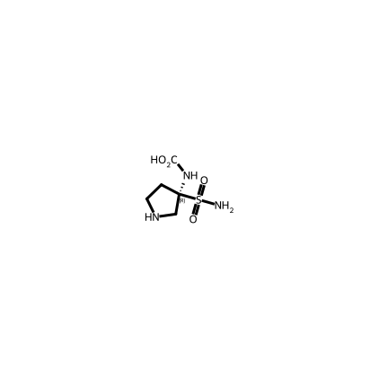 NS(=O)(=O)[C@]1(NC(=O)O)CCNC1